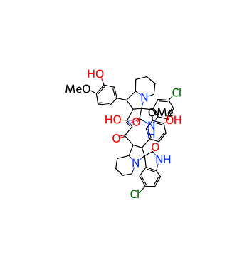 COc1ccc(C2C3CCCCN3C3(C(=O)Nc4ccc(Cl)cc43)C2/C(O)=C/C(=O)C2C3CCCCN3C3(C(=O)Nc4ccc(Cl)cc43)C2c2ccc(O)c(OC)c2)cc1O